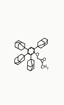 CC1OC1COc1c(C23CC4CC(CC(C4)C2)C3)cc(C23CC4CC(CC(C4)C2)C3)c(C23CC4CC(CC(C4)C2)C3)c1C12CC3CC(CC(C3)C1)C2